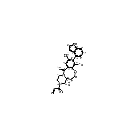 C=CC(=O)N1CCN2C(=O)c3cc(Cl)c(-c4cccc5sccc45)c(Cl)c3OCC[C@H]2C1